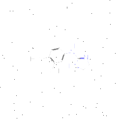 Cc1ccc(NC2=NCCN2)cc1C